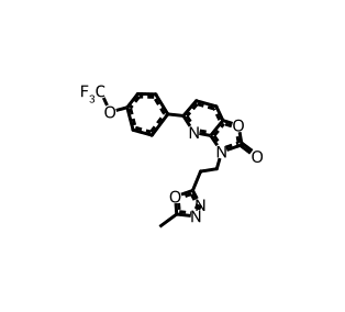 Cc1nnc(CCn2c(=O)oc3ccc(-c4ccc(OC(F)(F)F)cc4)nc32)o1